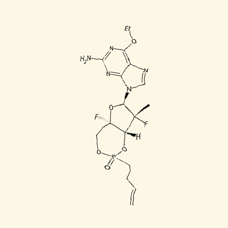 C=CCCP1(=O)OC[C@@]2(F)O[C@@H](n3cnc4c(OCC)nc(N)nc43)[C@](C)(F)[C@@H]2O1